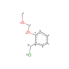 COCOc1ccccc1CCl